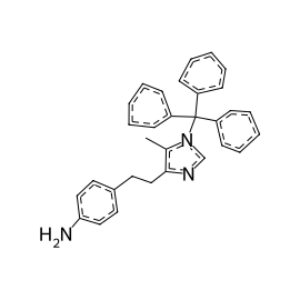 Cc1c(CCc2ccc(N)cc2)ncn1C(c1ccccc1)(c1ccccc1)c1ccccc1